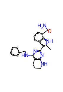 Cc1[nH]c2c(C(N)=O)cccc2c1-c1nc2c(c(NCc3ccccc3)n1)CCCN2